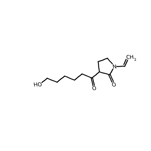 C=CN1CCC(C(=O)CCCCCO)C1=O